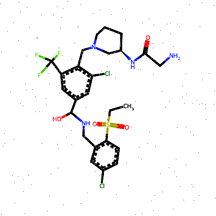 CCS(=O)(=O)c1ccc(Cl)cc1CNC(O)c1cc(Cl)c(CN2CCC[C@@H](NC(=O)CN)C2)c(C(F)(F)F)c1